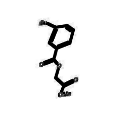 CCC(C)c1cccc(C(=O)OCC(=O)OC)c1